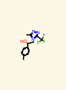 [CH2]c1ccc(C(O)Cn2c(C)nnc2C(F)(F)F)cc1